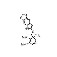 COC1=C(OC)C(C)(CSc2nc3cc4c(cc3[nH]2)OCO4)CN=C1